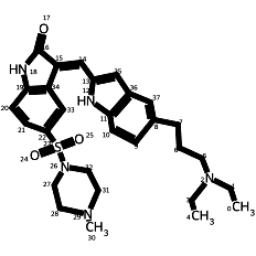 CCN(CC)CCCc1ccc2[nH]c(/C=C3/C(=O)Nc4ccc(S(=O)(=O)N5CCN(C)CC5)cc43)cc2c1